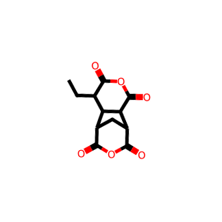 CCC1C(=O)OC(=O)C2C3CC(C(=O)OC3=O)C12